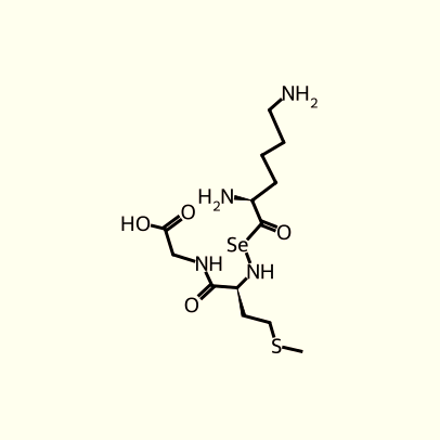 CSCC[C@H](N[Se]C(=O)[C@@H](N)CCCCN)C(=O)NCC(=O)O